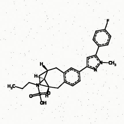 CCCN([C@H]1[C@@H]2CC[C@H]1Cc1ccc(-c3cc(-c4ccc(F)cc4)n(C)n3)cc1C2)S(=O)(=O)O